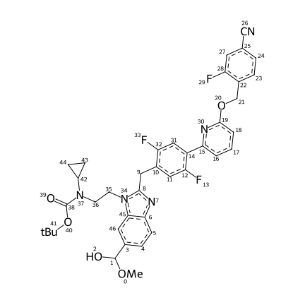 COC(O)c1ccc2nc(Cc3cc(F)c(-c4cccc(OCc5ccc(C#N)cc5F)n4)cc3F)n(CCN(C(=O)OC(C)(C)C)C3CC3)c2c1